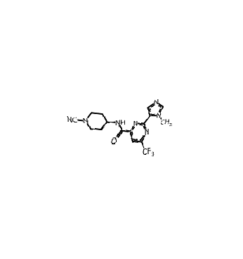 Cn1cncc1-c1nc(C(=O)NC2CCN(C#N)CC2)cc(C(F)(F)F)n1